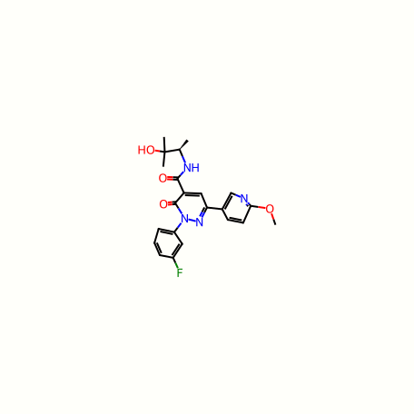 COc1ccc(-c2cc(C(=O)N[C@H](C)C(C)(C)O)c(=O)n(-c3cccc(F)c3)n2)cn1